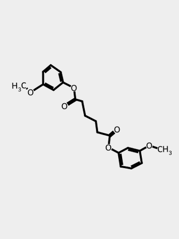 COc1cccc(OC(=O)CCCCC(=O)Oc2cccc(OC)c2)c1